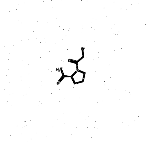 NC(=O)[C@@H]1CCCN1C(=O)CBr